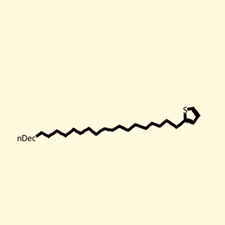 CCCCCCCCCCCCCCCCCCCCCCCCCCCCc1cccs1